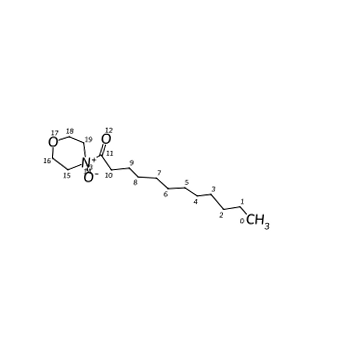 CCCCCCCCCCCC(=O)[N+]1([O-])CCOCC1